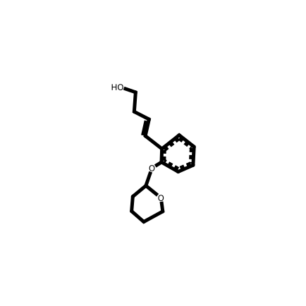 OCCC=Cc1ccccc1OC1CCCCO1